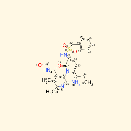 C=C1C(CNC=O)=C(n2c(CCC)ccc(NS(=O)(=O)Cc3ccccc3)c2=O)C(N)=NC1C